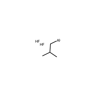 CC(C)[CH2][Al].F.F